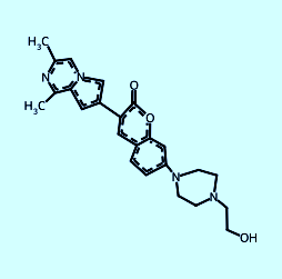 Cc1cn2cc(-c3cc4ccc(N5CCN(CCO)CC5)cc4oc3=O)cc2c(C)n1